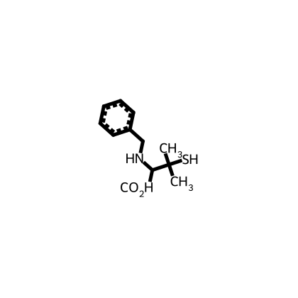 CC(C)(S)C(NCc1ccccc1)C(=O)O